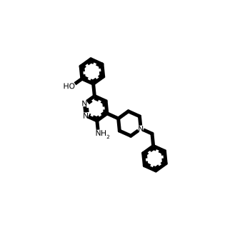 Nc1nnc(-c2ccccc2O)cc1C1CCN(Cc2ccccc2)CC1